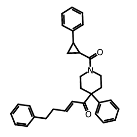 O=C(C1CC1c1ccccc1)N1CCC(C(=O)/C=C/CCc2ccccc2)(c2ccccc2)CC1